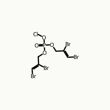 O=P(OCl)(OCC(Br)=CBr)OCC(Br)=CBr